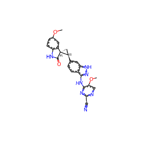 COc1ccc2c(c1)[C@]1(C[C@H]1c1ccc3c(Nc4nc(C#N)ncc4OC)n[nH]c3c1)C(=O)N2